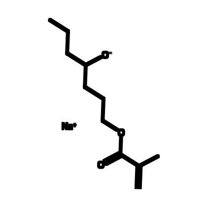 C=C(C)C(=O)OCCCC([O-])CCC.[Na+]